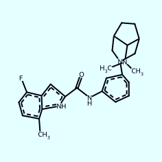 Cc1ccc(F)c2cc(C(=O)Nc3cccc(N4CC5CCC(C4)C5N(C)C)c3)[nH]c12